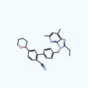 CCc1nc2c(C)cc(C)nc2n1Cc1ccc(-c2cc(C3CCCCO3)ccc2C#N)cc1